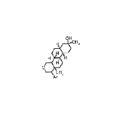 CC(=O)[C@H]1COC[C@H]2[C@@H]3CC[C@@H]4C[C@](C)(O)CC[C@@H]4[C@H]3CC[C@]12C